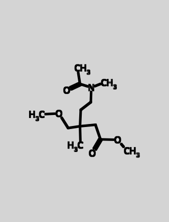 COCC(C)(CCN(C)C(C)=O)CC(=O)OC